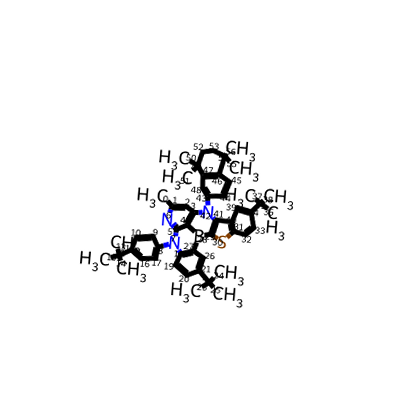 Cc1cc2c3c(n1)N(c1ccc(C(C)(C)C)cc1)c1ccc(C(C)(C)C)cc1B3c1sc3ccc(C(C)(C)C)cc3c1N2c1ccc2c(c1)C(C)(C)CCC2(C)C